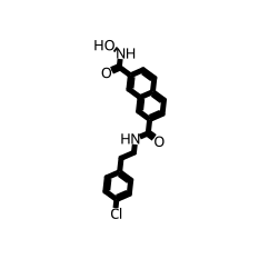 O=C(NO)c1ccc2ccc(C(=O)NCCc3ccc(Cl)cc3)cc2c1